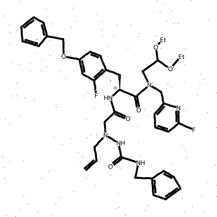 C=CCN(CC(=O)N[C@@H](Cc1ccc(OCc2ccccc2)cc1F)C(=O)N(Cc1cccc(F)n1)CC(OCC)OCC)NC(=O)NCc1ccccc1